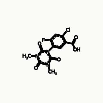 Cn1c(=O)n(C)c(=O)n(-c2cc(C(=O)O)c(Cl)cc2F)c1=O